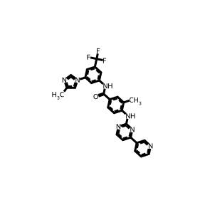 Cc1cn(-c2cc(NC(=O)c3ccc(Nc4nccc(-c5cccnc5)n4)c(C)c3)cc(C(F)(F)F)c2)cn1